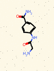 NCC(=O)Nc1ccc(C(N)=O)cc1